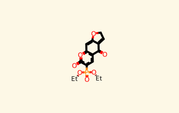 CCOP(=O)(OCC)c1cc2c(oc1=O)C=C1OCC=C1C2=O